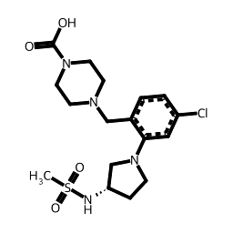 CS(=O)(=O)N[C@H]1CCN(c2cc(Cl)ccc2CN2CCN(C(=O)O)CC2)C1